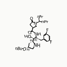 CCCCO[C@H]1CN[C@@H]([C@@H](O)[C@H](Cc2cc(F)cc(F)c2)NC(=O)C2CC(=O)N(C(CCC)CCC)C2)C1